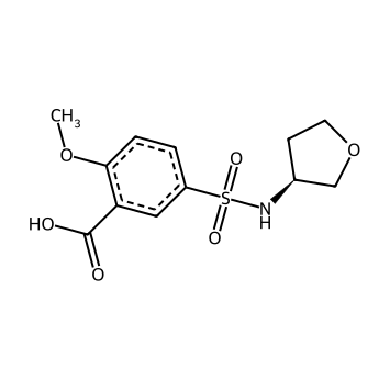 COc1ccc(S(=O)(=O)N[C@H]2CCOC2)cc1C(=O)O